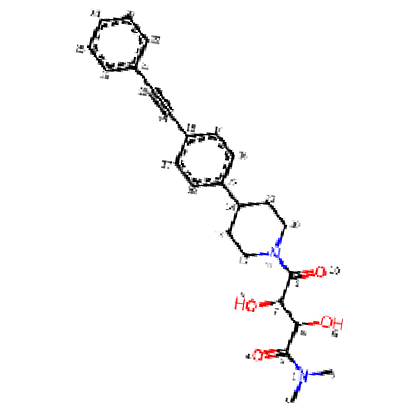 CN(C)C(=O)[C@H](O)[C@@H](O)C(=O)N1CCC(c2ccc(C#Cc3ccccc3)cc2)CC1